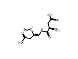 C=C(CC(=O)O)C(=O)N/C=C(/CC(=O)O)OO